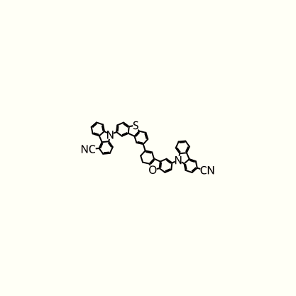 N#Cc1ccc2c(c1)c1ccccc1n2-c1ccc2oc3c(c2c1)C=C(c1ccc2sc4ccc(-n5c6ccccc6c6c(C#N)cccc65)cc4c2c1)CC3